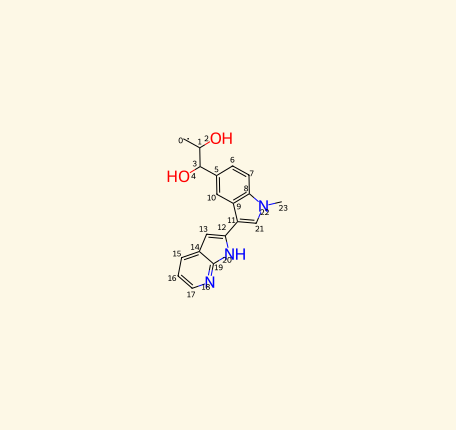 [CH2]C(O)C(O)c1ccc2c(c1)c(-c1cc3cccnc3[nH]1)cn2C